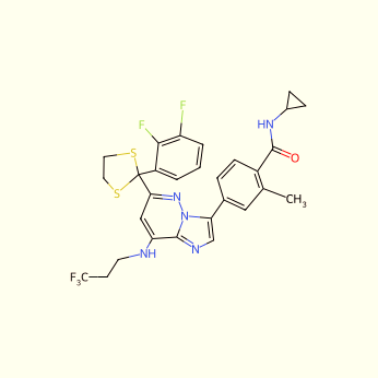 Cc1cc(-c2cnc3c(NCCC(F)(F)F)cc(C4(c5cccc(F)c5F)SCCS4)nn23)ccc1C(=O)NC1CC1